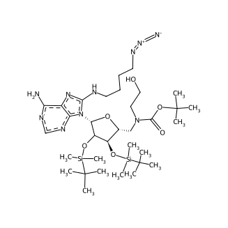 CC(C)(C)OC(=O)N(CCO)C[C@H]1O[C@@H](n2c(NCCCCN=[N+]=[N-])nc3c(N)ncnc32)C(O[Si](C)(C)C(C)(C)C)[C@@H]1O[Si](C)(C)C(C)(C)C